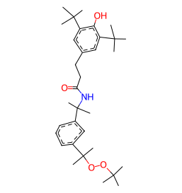 CC(C)(C)OOC(C)(C)c1cccc(C(C)(C)NC(=O)CCc2cc(C(C)(C)C)c(O)c(C(C)(C)C)c2)c1